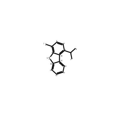 CC(C)c1ccc(I)c2sc3ccccc3c12